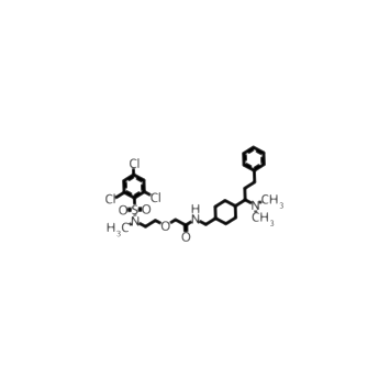 CN(C)C(CCc1ccccc1)C1CCC(CNC(=O)COCCN(C)S(=O)(=O)c2c(Cl)cc(Cl)cc2Cl)CC1